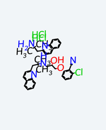 CC(C)(Cc1ccc2ccccc2n1)NCC(O)COc1cccc(Cl)c1C#N.CC(C)(N)Cc1ccc2ccccc2n1.Cl.Cl